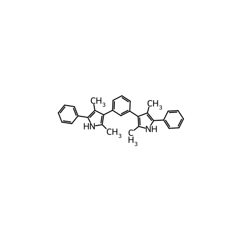 Cc1[nH]c(-c2ccccc2)c(C)c1-c1cccc(-c2c(C)[nH]c(-c3ccccc3)c2C)c1